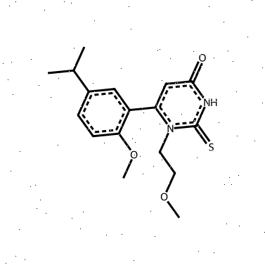 COCCn1c(-c2cc(C(C)C)ccc2OC)cc(=O)[nH]c1=S